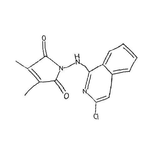 CC1=C(C)C(=O)N(Nc2nc(Cl)cc3ccccc23)C1=O